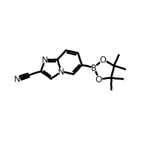 CC1(C)OB(c2ccc3nc(C#N)cn3c2)OC1(C)C